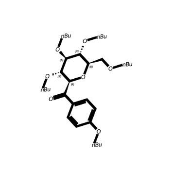 CCCCOC[C@H]1O[C@@H](C(=O)c2ccc(OCCCC)cc2)[C@H](OCCCC)[C@@H](OCCCC)[C@@H]1OCCCC